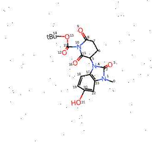 Cn1c(=O)n(C2CCC(=O)N(C(=O)OC(C)(C)C)C2=O)c2ccc(O)cc21